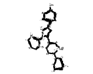 Fc1ccc(-c2cc(C3CCC(c4ccccc4)NC3)n(-c3ncccn3)n2)cc1